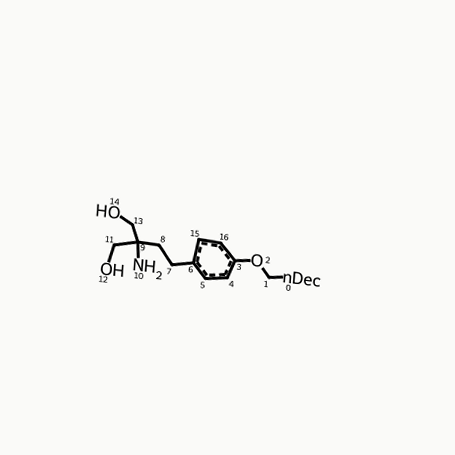 CCCCCCCCCCCOc1ccc(CCC(N)(CO)CO)cc1